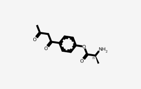 CC(=O)CC(=O)c1ccc(OC(=O)[C@H](C)N)cc1